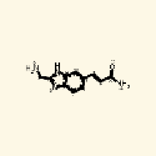 NCc1nc2ccc(/C=C/C(N)=O)cc2[nH]1